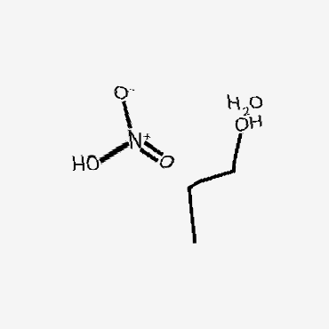 CCCO.O.O=[N+]([O-])O